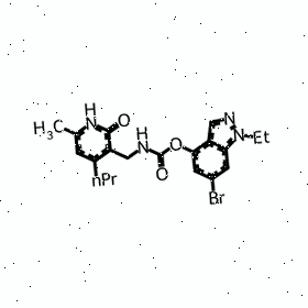 CCCc1cc(C)[nH]c(=O)c1CNC(=O)Oc1cc(Br)cc2c1cnn2CC